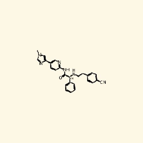 Cn1cnc(-c2ccc(NC(=O)[C@@H](NCCc3ccc(C#N)cc3)c3ccccc3)nc2)c1